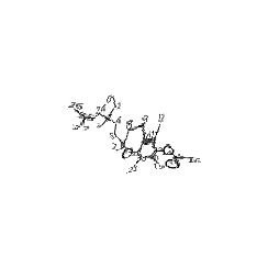 CCC(C)(CCC1(C)CCc2c(C)c(OC(C)=O)c(C)c(C)c2O1)CC(C)C